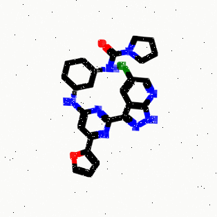 O=C(N[C@H]1CCC[C@@H](Nc2cc(-c3ccco3)nc(-c3n[nH]c4ncc(Cl)cc34)n2)C1)N1CCCC1